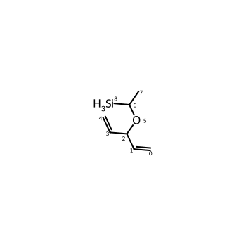 C=CC(C=C)OC(C)[SiH3]